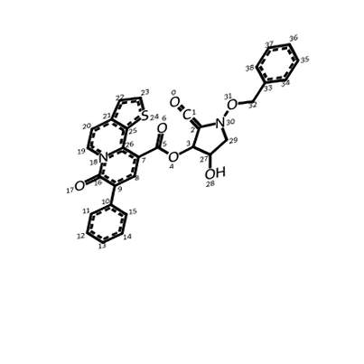 O=C=C1C(OC(=O)c2cc(-c3ccccc3)c(=O)n3ccc4ccsc4c23)C(O)CN1OCc1ccccc1